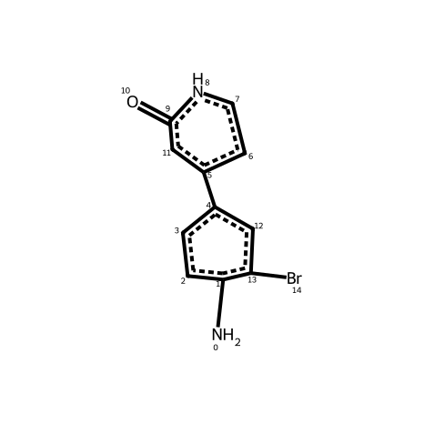 Nc1ccc(-c2cc[nH]c(=O)c2)cc1Br